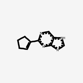 C1=C(c2ncc3[nH]cnc3n2)CCC1